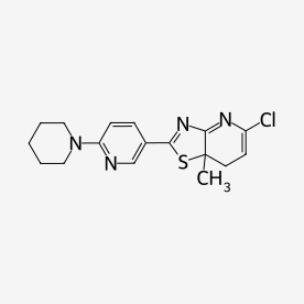 CC12CC=C(Cl)N=C1N=C(c1ccc(N3CCCCC3)nc1)S2